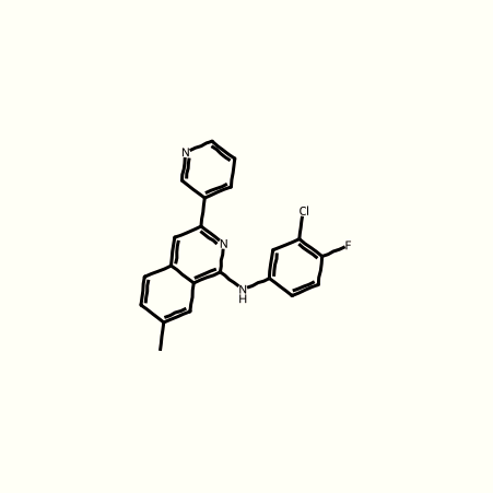 Cc1ccc2cc(-c3cccnc3)nc(Nc3ccc(F)c(Cl)c3)c2c1